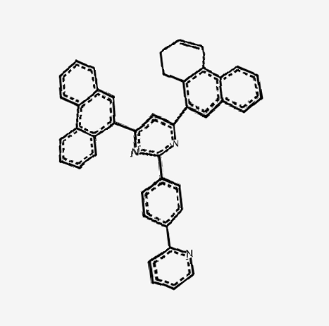 C1=Cc2c(c(-c3cc(-c4cc5ccccc5c5ccccc45)nc(-c4ccc(-c5ccccn5)cc4)n3)cc3ccccc23)CC1